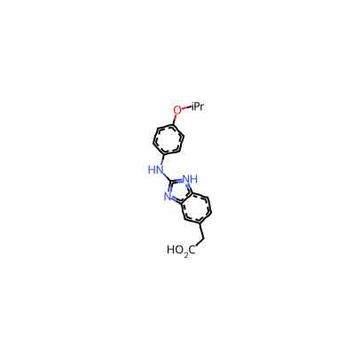 CC(C)Oc1ccc(Nc2nc3cc(CC(=O)O)ccc3[nH]2)cc1